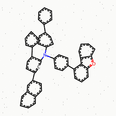 c1ccc(-c2ccc(N(c3ccc(-c4cccc5oc6ccccc6c45)cc3)c3cc(-c4ccc5ccccc5c4)ccc3-c3ccccc3)cc2)cc1